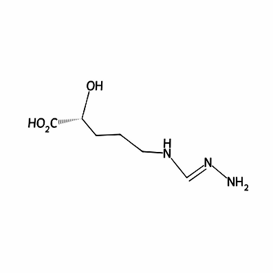 NN=CNCCC[C@@H](O)C(=O)O